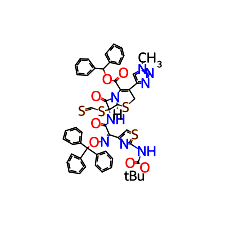 Cn1cc(C2=C(C(=O)OC(c3ccccc3)c3ccccc3)N3C(=O)[C@](NC(=O)/C(=N\OC(c4ccccc4)(c4ccccc4)c4ccccc4)c4csc(NC(=O)OC(C)(C)C)n4)(SC=S)[C@@H]3SC2)nn1